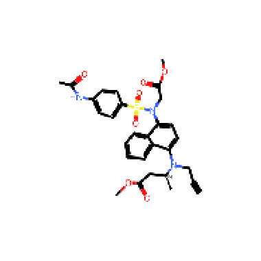 C#CCN(c1ccc(N(CC(=O)OC)S(=O)(=O)c2ccc(NC(C)=O)cc2)c2ccccc12)[C@@H](C)CC(=O)OC